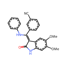 COc1cc2c(cc1OC)/C(=C(/Nc1ccccc1)c1cccc(C#N)c1)C(=O)N2